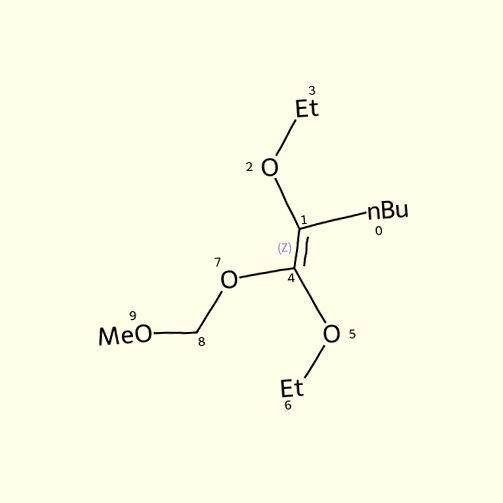 CCCC/C(OCC)=C(\OCC)OCOC